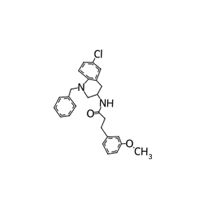 COc1cccc(CCC(=O)NC2Cc3cc(Cl)ccc3N(Cc3ccccc3)C2)c1